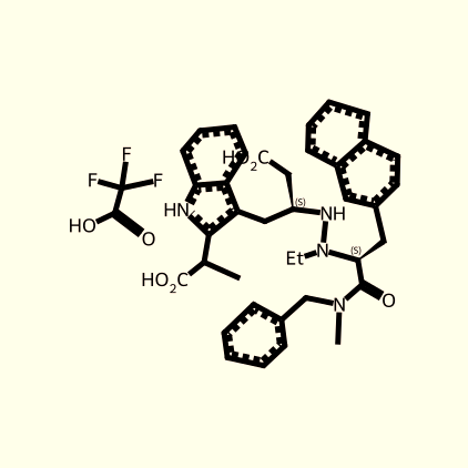 CCN(N[C@H](CC(=O)O)Cc1c(C(C)C(=O)O)[nH]c2ccccc12)[C@@H](Cc1ccc2ccccc2c1)C(=O)N(C)Cc1ccccc1.O=C(O)C(F)(F)F